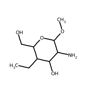 CCC1C(CO)OC(OC)C(N)C1O